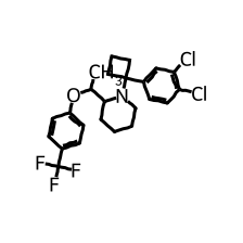 CC(Oc1ccc(C(F)(F)F)cc1)C1CCCCN1C1(c2ccc(Cl)c(Cl)c2)CCC1